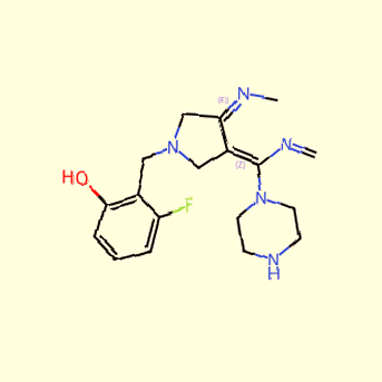 C=N/C(=C1/CN(Cc2c(O)cccc2F)C/C1=N/C)N1CCNCC1